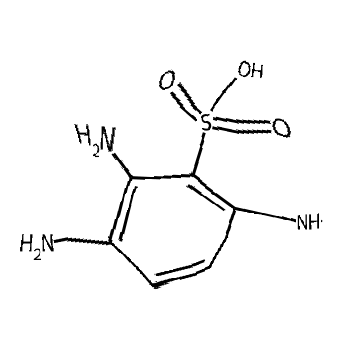 [NH]c1ccc(N)c(N)c1S(=O)(=O)O